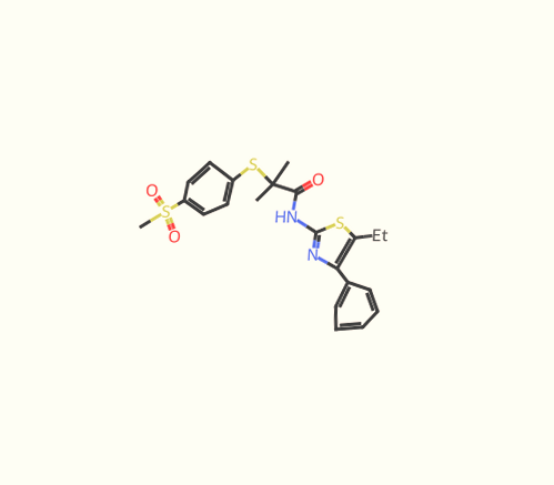 CCc1sc(NC(=O)C(C)(C)Sc2ccc(S(C)(=O)=O)cc2)nc1-c1ccccc1